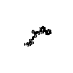 CC(C)NC(=O)OCCOC(=O)CSc1nccc(-c2ccccn2)n1